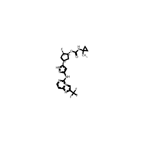 CC1(NC(=O)O[C@H]2C[C@@H](c3cc(Nc4nccc5nc(C(F)(F)F)cn45)n[nH]3)C[C@H]2F)CC1